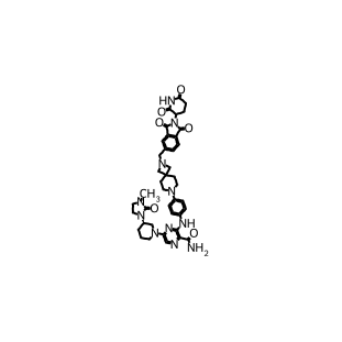 CN1CCN([C@@H]2CCCN(c3cnc(C(N)=O)c(Nc4ccc(N5CCC6(CC5)CN(Cc5ccc7c(c5)C(=O)N(C5CCC(=O)NC5=O)C7=O)C6)cc4)n3)C2)C1=O